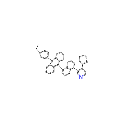 CCc1ccc(-c2c3ccccc3c(-c3cccc4c(-c5cnccc5-c5ccccc5)cccc34)c3ccccc23)cc1